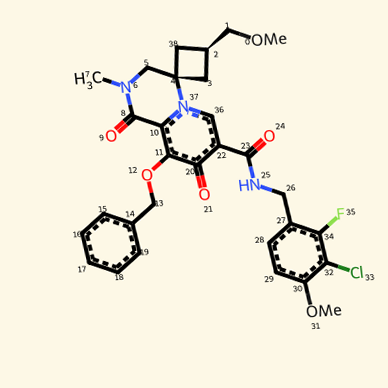 COC[C@H]1C[C@@]2(CN(C)C(=O)c3c(OCc4ccccc4)c(=O)c(C(=O)NCc4ccc(OC)c(Cl)c4F)cn32)C1